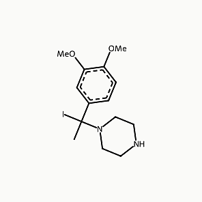 COc1ccc(C(C)(I)N2CCNCC2)cc1OC